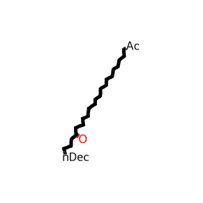 CCCCCCCCCCCCCC(=O)CCCCCCCCCCCCCCCCCC(C)=O